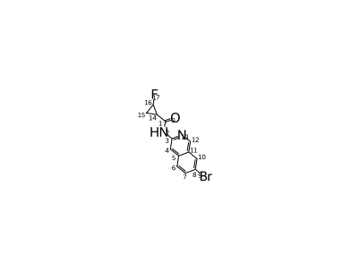 O=C(Nc1cc2ccc(Br)cc2cn1)C1CC1F